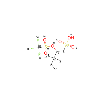 CCC(C)(C)C(CS(=O)(=O)O)OS(=O)(=O)C(F)(F)F